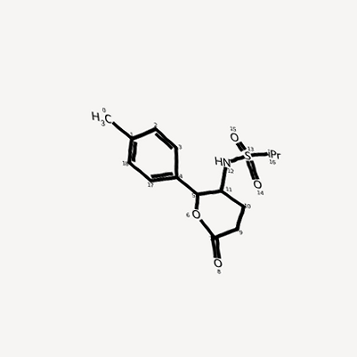 Cc1ccc(C2OC(=O)CCC2NS(=O)(=O)C(C)C)cc1